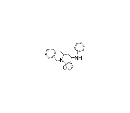 CC1CC(Nc2ccccc2)c2ccoc2N1Cc1ccccc1